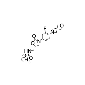 COC(=O)NC[C@H]1CN(c2ccc(N3CC4(COC4)C3)c(F)c2)C(=O)O1